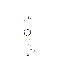 CC(C)(C)C(CNS(=O)(=O)c1ccc(B2OC(C)(C)C(C)(C)O2)cc1)NC(=O)O